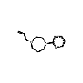 C=CCN1CCCN(c2ncccn2)CC1